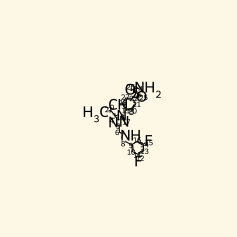 CC(C)c1nc(CNCc2cc(F)cc(F)c2)nn1-c1ccc(S(N)(=O)=O)cc1